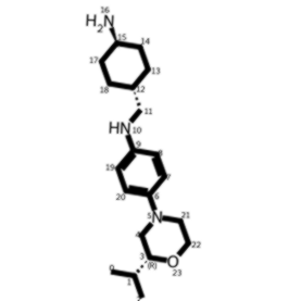 CC(C)[C@@H]1CN(c2ccc(NC[C@H]3CC[C@H](N)CC3)cc2)CCO1